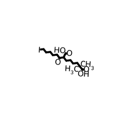 CC(C)(CCCCC(C(=O)O)C(=O)CCCCCI)C(=O)O